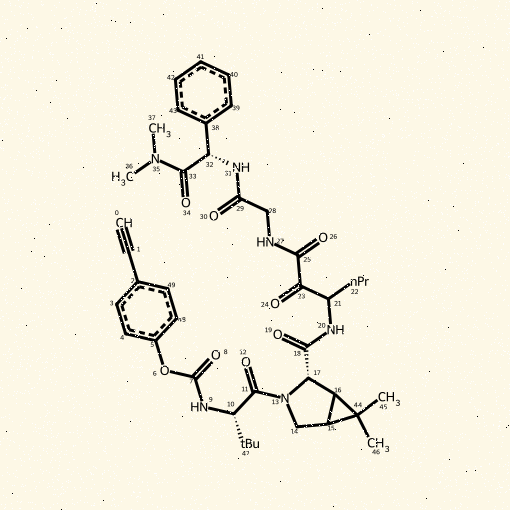 C#Cc1ccc(OC(=O)N[C@H](C(=O)N2CC3C([C@H]2C(=O)NC(CCC)C(=O)C(=O)NCC(=O)N[C@H](C(=O)N(C)C)c2ccccc2)C3(C)C)C(C)(C)C)cc1